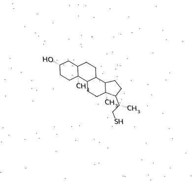 C[C@H](CS)C1CCC2C3CCC4C[C@@H](O)CC[C@]4(C)C3CC[C@@]21C